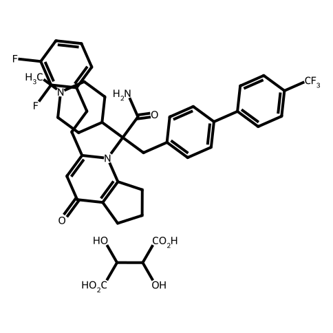 CN1CCC(C(Cc2ccc(-c3ccc(C(F)(F)F)cc3)cc2)(C(N)=O)n2c(CCc3cccc(F)c3F)cc(=O)c3c2CCC3)CC1.O=C(O)C(O)C(O)C(=O)O